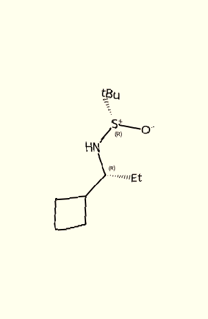 CC[C@@H](N[S@@+]([O-])C(C)(C)C)C1CCC1